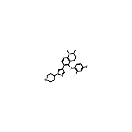 CC1CCc2c(ccc(-c3cnn(C4CCNCC4)c3)c2Oc2ccc(F)cc2F)N1C